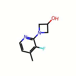 Cc1ccnc(N2CC(O)C2)c1F